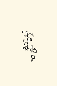 CC(C)Nc1cncc(-c2cc3c(-c4nc5c(-c6ccc(F)cc6)ccnc5[nH]4)n[nH]c3cc2F)c1